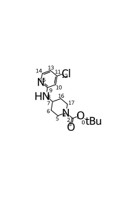 CC(C)(C)OC(=O)N1CCC(Nc2cc(Cl)ccn2)CC1